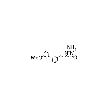 COc1cccc(-c2cccc(CCc3cc(=O)n(C)c(N)n3)c2)c1